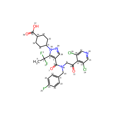 CC(F)(F)c1c(C(=O)N(CC(=O)c2c(Cl)cncc2Cl)Cc2ccc(F)cc2)cnn1C1CCC(C(=O)O)CC1